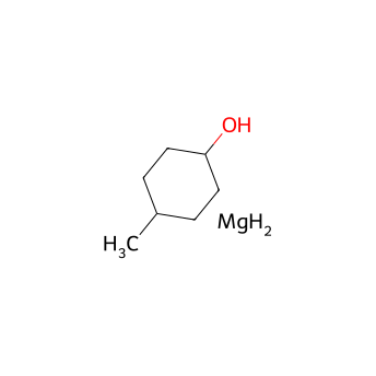 CC1CCC(O)CC1.[MgH2]